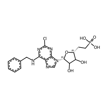 O=P(O)(O)CC[C@H]1O[C@@H](n2cnc3c(NCc4ccccc4)nc(Cl)nc32)C(O)C1O